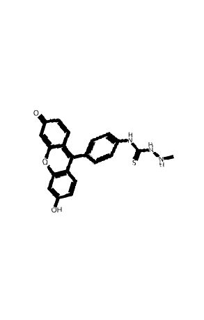 CNNC(=S)Nc1ccc(-c2c3ccc(=O)cc-3oc3cc(O)ccc23)cc1